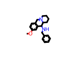 COc1ccc2c(c1)C(NCc1ccccc1)C1CCCCN1C2